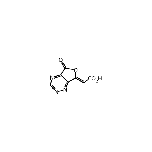 O=C(O)C=C1OC(=O)c2ncnnc21